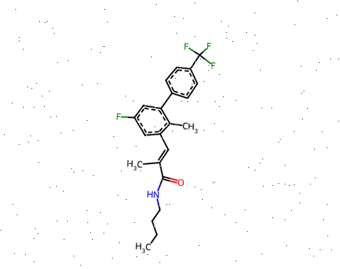 CCCCNC(=O)/C(C)=C/c1cc(F)cc(-c2ccc(C(F)(F)F)cc2)c1C